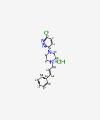 Cl.Clc1ccc(N2CCN(CC=Cc3ccccc3)CC2)nn1